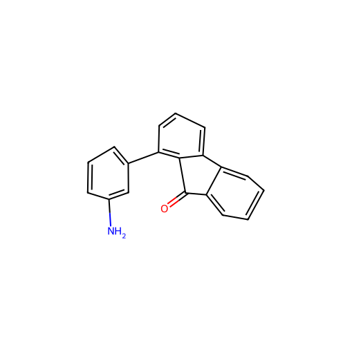 Nc1cccc(-c2cccc3c2C(=O)c2ccccc2-3)c1